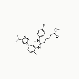 COC(=O)CCCC/C(=N/C1=CC(n2cc(C(C)C)nn2)CC=C1C)N(C)c1ccc(F)cc1